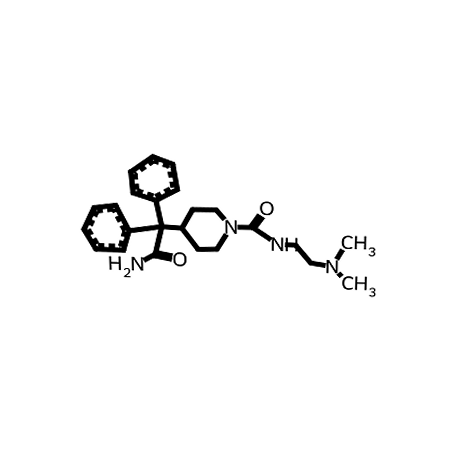 CN(C)CCNC(=O)N1CCC(C(C(N)=O)(c2ccccc2)c2ccccc2)CC1